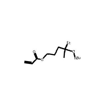 [CH2]CC(C)(CCCOC(=O)C=C)OCCCC